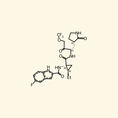 CC[C@@H]1C[C@]1(NC(=O)c1cc2cc(F)ccc2[nH]1)C(=O)N[C@@H](C[C@@H]1CCNC1=O)C(=O)COC(F)(F)F